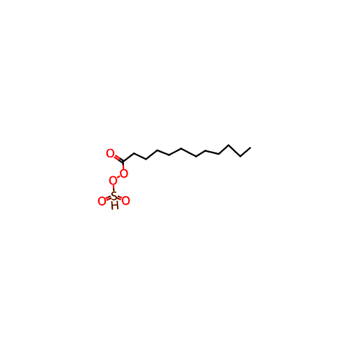 CCCCCCCCCCCC(=O)OO[SH](=O)=O